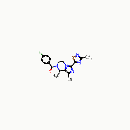 Cc1nsc(-c2nc(C#N)c3n2CCN(C(=O)c2ccc(F)cc2)[C@@H]3C)n1